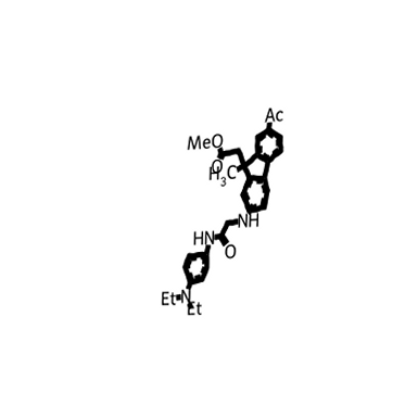 CCN(CC)c1ccc(NC(=O)CNc2ccc3c(c2)C(C)(CC(=O)OC)c2cc(C(C)=O)ccc2-3)cc1